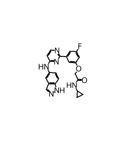 O=C(COc1cc(F)cc(-c2nccc(Nc3ccc4[nH]ncc4c3)n2)c1)NC1CC1